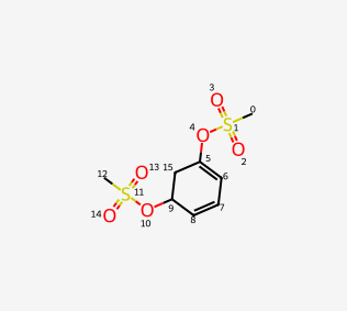 CS(=O)(=O)OC1=CC=CC(OS(C)(=O)=O)C1